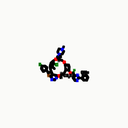 CCOC(=O)[C@H]1Cc2cc(ccc2OC(F)c2ccnc(-c3ccccc3OC)n2)OC[C@@H](CN2CCN(C)CC2)Oc2ccc(c(C)c2Cl)-c2c(-c3ccc(F)cc3)sc3ncnc(c23)O1